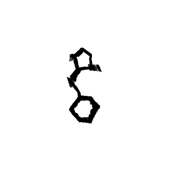 C1=NC(=Nc2ccccc2)NC1